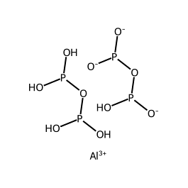 OP(O)OP(O)O.[Al+3].[O-]P([O-])OP([O-])O